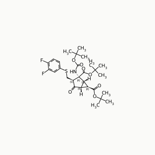 CC(C)(C)OC(=O)N[C@]1(C(=O)OC(C)(C)C)[C@@H]2[C@@H](C(=O)OC(C)(C)C)[C@@H]2C(=O)[C@H]1CSc1ccc(F)c(F)c1